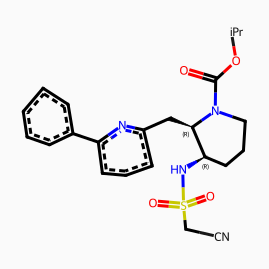 CC(C)OC(=O)N1CCC[C@@H](NS(=O)(=O)CC#N)[C@H]1Cc1cccc(-c2ccccc2)n1